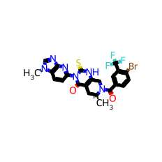 C[C@@H]1Cc2c([nH]c(=S)n(-c3ccc4c(ncn4C)n3)c2=O)CN1C(=O)c1ccc(Br)c(C(F)(F)F)c1